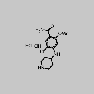 COc1cc(NC2CCNCC2)c(Cl)cc1C(N)=O.Cl.Cl